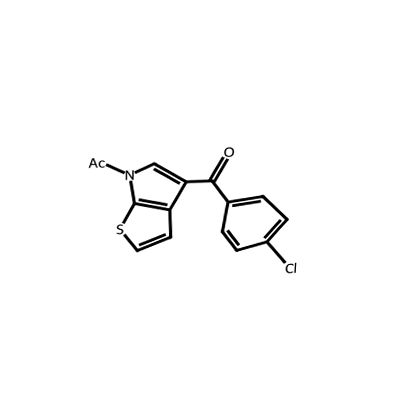 CC(=O)n1cc(C(=O)c2ccc(Cl)cc2)c2ccsc21